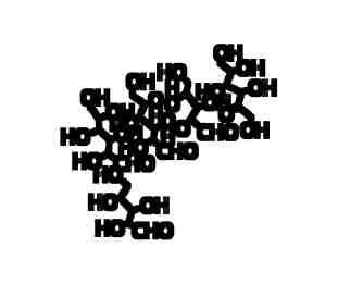 O=C(CO)C(O)C(O)C(O)CO.O=CC(O)C(O)C(O)C(O)CO.O=CC(O)C(O)C(O)C(O)CO.O=CC(O)C(O)C(O)CO.O=CC(O)C(O)C(O)CO